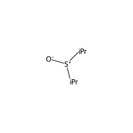 CC(C)[S+]([O-])C(C)C